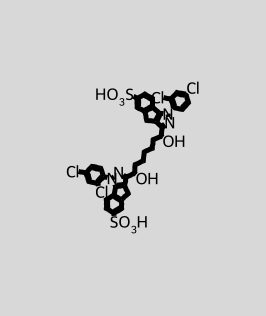 O=S(=O)(O)c1ccc2c(c1)Cc1c(C(O)CCCCCC(O)c3nn(-c4ccc(Cl)cc4Cl)c4c3Cc3cc(S(=O)(=O)O)ccc3-4)nn(-c3ccc(Cl)cc3Cl)c1-2